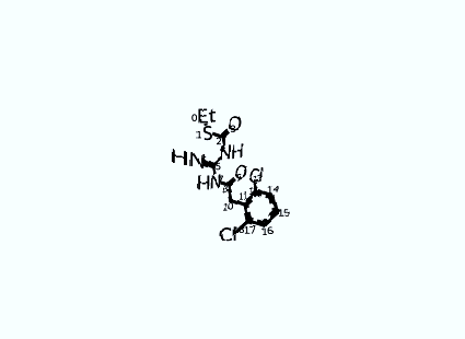 CCSC(=O)NC(=N)NC(=O)Cc1c(Cl)cccc1Cl